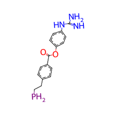 N=C(N)Nc1ccc(OC(=O)c2ccc(CCP)cc2)cc1